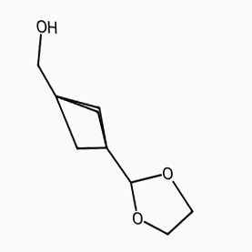 OCC12CC(C3OCCO3)(C1)C2